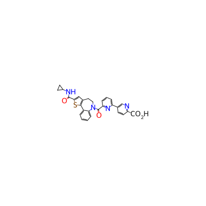 O=C(O)c1ccc(-c2cccc(C(=O)N3CCc4cc(C(=O)NC5CC5)sc4-c4ccccc43)n2)cn1